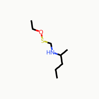 CCCC(C)NCSOCC